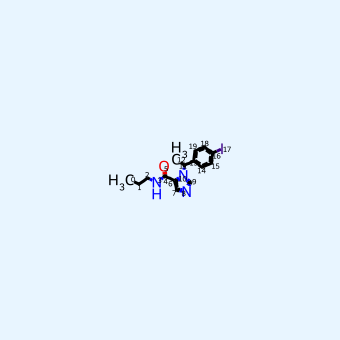 CCCNC(=O)c1cncn1C(C)c1ccc(I)cc1